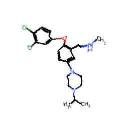 CNCc1cc(N2CCN(C(C)C)CC2)ccc1Oc1ccc(Cl)c(Cl)c1